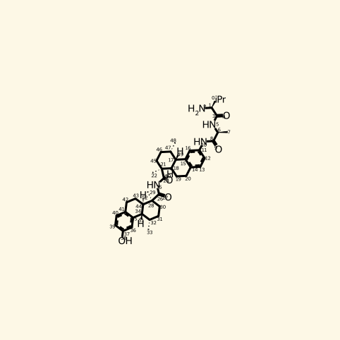 CC(C)[C@H](N)C(=O)N[C@@H](C)C(=O)Nc1ccc2c(c1)[C@@H]1[C@@H](CC2)[C@@](C)(C(=O)NC(=O)[C@@]2(C)CC[C@H](C)[C@@H]3c4cc(O)ccc4CC[C@H]32)CC[C@@H]1C